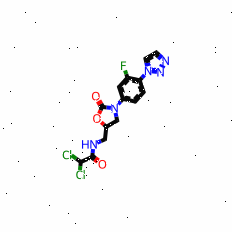 O=C(NCC1CN(c2ccc(-n3ccnn3)c(F)c2)C(=O)O1)C(Cl)Cl